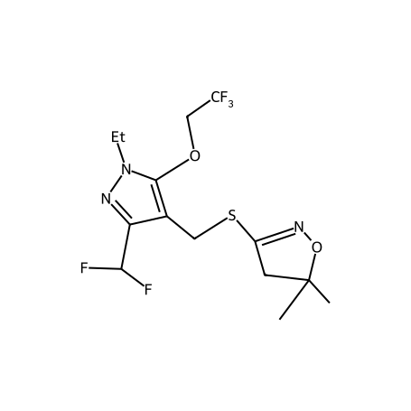 CCn1nc(C(F)F)c(CSC2=NOC(C)(C)C2)c1OCC(F)(F)F